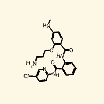 CNc1ccc(C(=O)Nc2ccccc2C(=O)Nc2ccc(Cl)cn2)c(OCCCN)c1